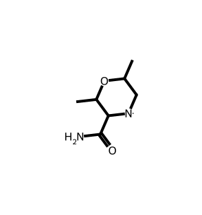 CC1C[N]C(C(N)=O)C(C)O1